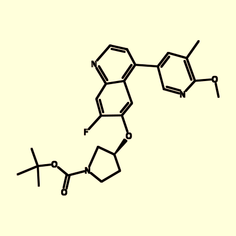 COc1ncc(-c2ccnc3cc(F)c(O[C@H]4CCN(C(=O)OC(C)(C)C)C4)cc23)cc1C